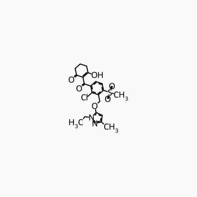 CCn1nc(C)cc1OCc1c(S(C)(=O)=O)ccc(C(=O)C2=C(O)CCCC2=O)c1Cl